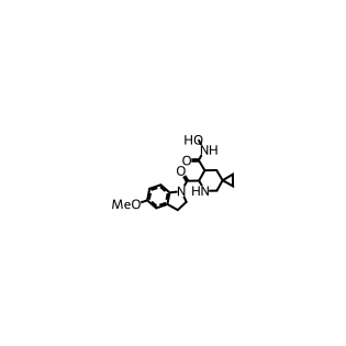 COc1ccc2c(c1)CCN2C(=O)C1NCC2(CC2)CC1C(=O)NO